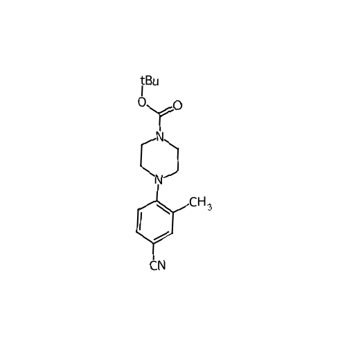 Cc1cc(C#N)ccc1N1CCN(C(=O)OC(C)(C)C)CC1